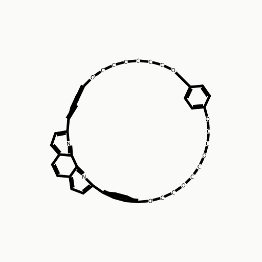 c1cc2ccc1OCCCCCCOc1ccc(cc1)-c1ccc3ccc4ccc(nc4c3n1)-c1ccc(cc1)OCCOCCOCCO2